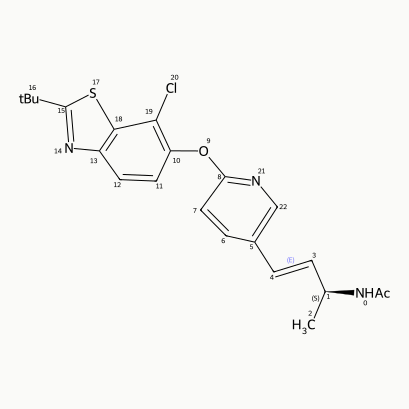 CC(=O)N[C@@H](C)/C=C/c1ccc(Oc2ccc3nc(C(C)(C)C)sc3c2Cl)nc1